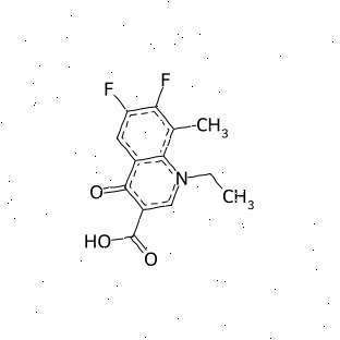 CCn1cc(C(=O)O)c(=O)c2cc(F)c(F)c(C)c21